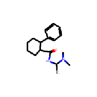 CCC(NC(=O)C1CCCCC1c1ccccc1)N(C)C